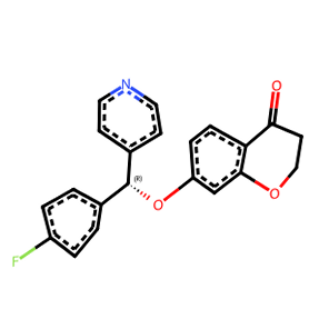 O=C1CCOc2cc(O[C@@H](c3ccncc3)c3ccc(F)cc3)ccc21